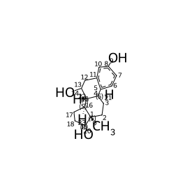 C[C@]12CC[C@@H]3c4ccc(O)cc4CC(O)[C@H]3[C@@H]1CC[C@H]2O